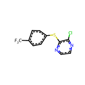 FC(F)(F)c1ccc(Sc2nccnc2Cl)cc1